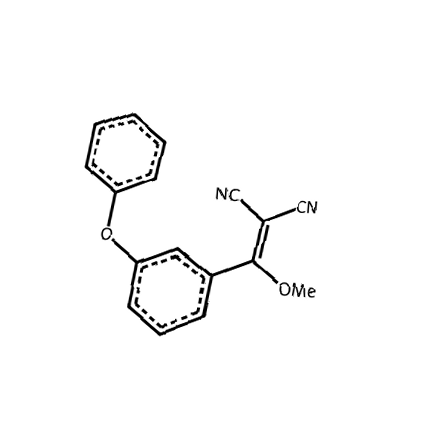 COC(=C(C#N)C#N)c1cccc(Oc2ccccc2)c1